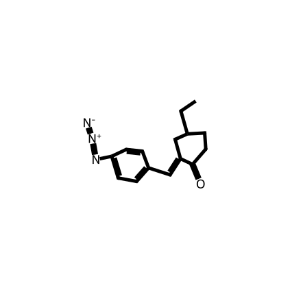 CCC1CCC(=O)C(=Cc2ccc(N=[N+]=[N-])cc2)C1